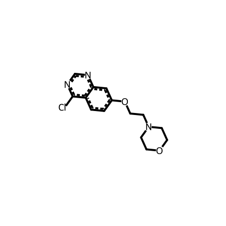 Clc1ncnc2cc(OCCN3CCOCC3)ccc12